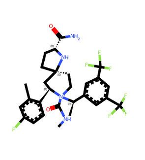 CNC(=O)[N+]1([C@H](C)c2cc(C(F)(F)F)cc(C(F)(F)F)c2)CC[C@@]2(CC[C@H](C(N)=O)N2)C[C@@H]1c1ccc(F)cc1C